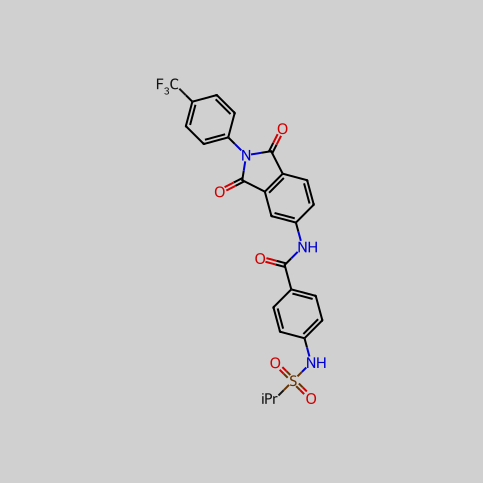 CC(C)S(=O)(=O)Nc1ccc(C(=O)Nc2ccc3c(c2)C(=O)N(c2ccc(C(F)(F)F)cc2)C3=O)cc1